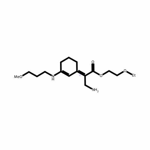 CCOCCOC(=O)/C(CN)=C1/C=C(NCCCOC)CCC1